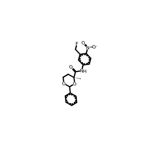 C[C@@]1(C(=O)Nc2ccc([N+](=O)[O-])c(CF)c2)CCOC(c2ccccc2)O1